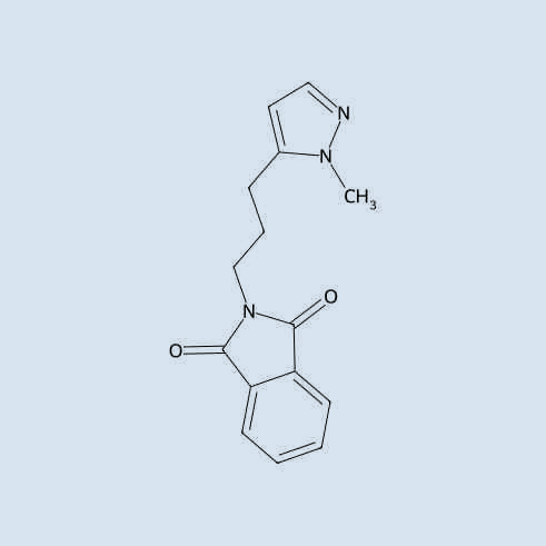 Cn1nccc1CCCN1C(=O)c2ccccc2C1=O